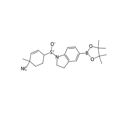 CC1(C#N)C=CC([S+]([O-])N2CCc3cc(B4OC(C)(C)C(C)(C)O4)ccc32)CC1